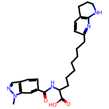 Cn1ncc2ccc(C(=O)NC(CCCCCCCc3ccc4c(n3)NCCC4)C(=O)O)cc21